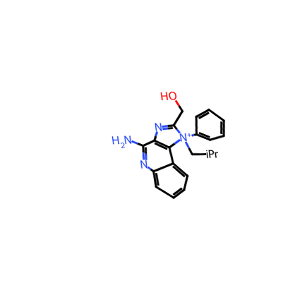 CC(C)C[N+]1(c2ccccc2)C(CO)=Nc2c(N)nc3ccccc3c21